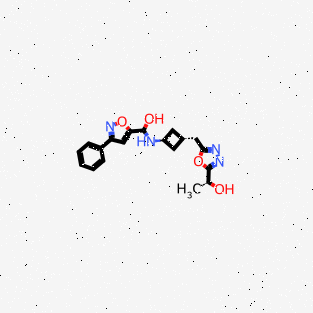 C[C@@H](O)c1nnc(C[C@H]2C[C@H](NC(O)c3cc(-c4ccccc4)no3)C2)o1